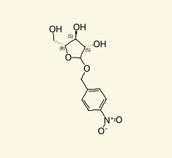 O=[N+]([O-])c1ccc(COC2O[C@H](CO)[C@@H](O)[C@@H]2O)cc1